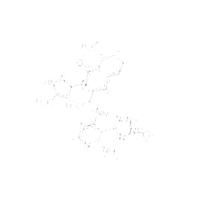 Cc1cc(-n2c(C(C)Nc3ncnc(N)c3-c3nnn(C)n3)cc3cccc(C)c3c2=O)n[nH]1